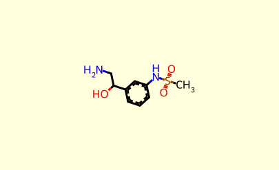 CS(=O)(=O)Nc1cccc(C(O)CN)c1